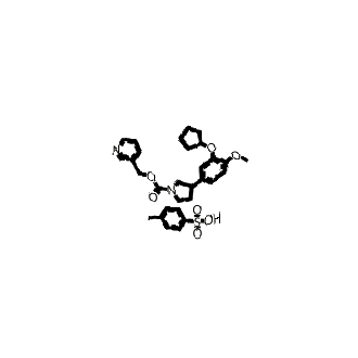 COc1ccc(C2CCN(C(=O)OCc3cccnc3)C2)cc1OC1CCCC1.Cc1ccc(S(=O)(=O)O)cc1